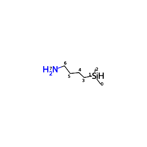 C[SiH](C)CCCCN